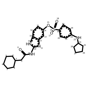 O=C(CC1CCCCC1)Nc1nc2cc(OS(=O)(=O)c3ccc(NC4CCCC4)cc3)ccc2[nH]1